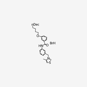 Br.CCCCCCCCCCCCCCOc1cccc(C(=O)Nc2cccc(CN3CSC=C3C)c2)c1